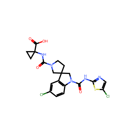 O=C(NC1(C(=O)O)CC1)N1CCC2(C1)CN(C(=O)Nc1ncc(Cl)s1)c1ccc(Cl)cc12